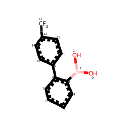 OB(O)c1ccccc1-c1ccc(C(F)(F)F)cc1